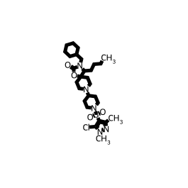 CCCCC1N(CC2CCCCC2)C(=O)OC12CCN(C1CCN(S(=O)(=O)c3c(C)nn(C)c3Cl)CC1)CC2